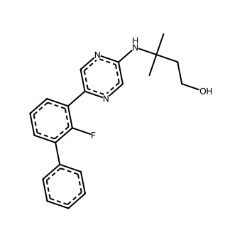 CC(C)(CCO)Nc1cnc(-c2cccc(-c3ccccc3)c2F)cn1